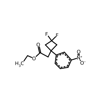 CCOC(=O)CC1(c2cccc([N+](=O)[O-])c2)CC(F)(F)C1